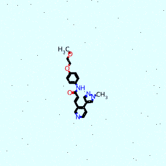 COCCOc1ccc(NC(=O)C=Cc2cnccc2-c2cnn(C)c2)cc1